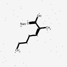 CCCCC=C(C)C(=O)O.[NaH]